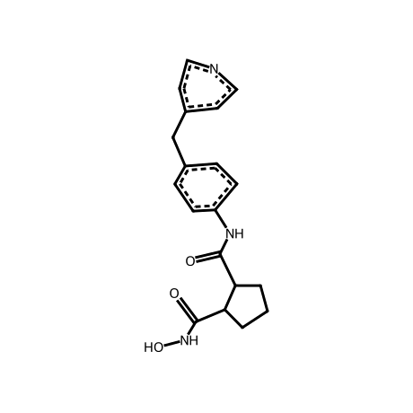 O=C(NO)C1CCCC1C(=O)Nc1ccc(Cc2ccncc2)cc1